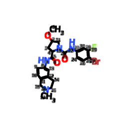 COC1CC(C(=O)Nc2ccc3c(c2)CCN(C)C3)N(C(=O)Nc2ccc(Br)c(F)c2)C1